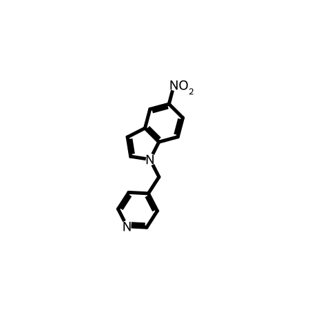 O=[N+]([O-])c1ccc2c(ccn2Cc2ccncc2)c1